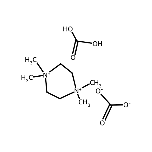 C[N+]1(C)CC[N+](C)(C)CC1.O=C(O)O.O=C([O-])[O-]